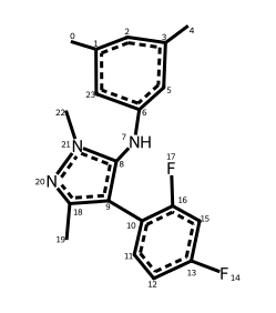 Cc1cc(C)cc(Nc2c(-c3ccc(F)cc3F)c(C)nn2C)c1